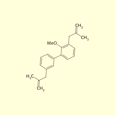 C=C(C)Cc1cccc(-c2cccc(CC(=C)C)c2OC)c1